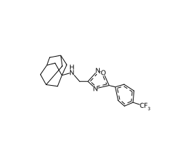 FC(F)(F)c1ccc(-c2nc(CNC34CC5CC(CC(C5)C3)C4)no2)cc1